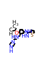 CCC(CC)Oc1ccc(NC(=N)c2cccs2)cc1CNCCN1CCNCC1